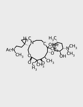 CO[C@]1(C)CCCN(C)[C@@H](C2(CCN(C)C(C)=O)CC2)COC(=O)C(C)(C)C(=O)[C@H](C)[C@H]1O[C@@H]1O[C@H](C)C[C@H](N(C)C)[C@H]1O